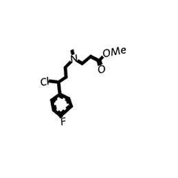 COC(=O)CCN(C)CCC(Cl)c1ccc(F)cc1